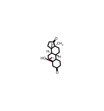 C[C@]12CC[C@H]3[C@@H](CC=C4CC(=O)CC[C@@]43CCO)[C@@H]1CCC2=O